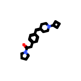 O=C(Cc1ccc(C=C2CCN(C3CCC3)CC2)cc1)N1CCCC1